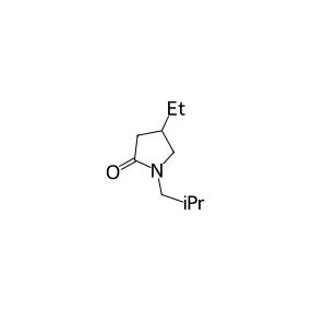 CCC1CC(=O)N(CC(C)C)C1